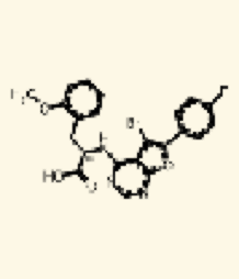 COc1ccccc1C[C@@H](Nc1ncnc2oc(-c3ccc(F)cc3)c(Br)c12)C(=O)O